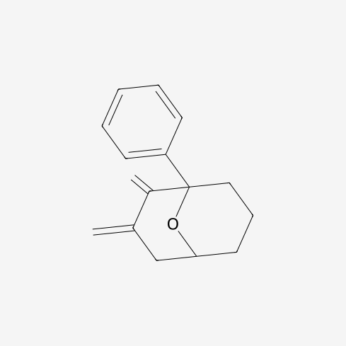 C=C1CC2CCCC(c3ccccc3)(O2)C1=C